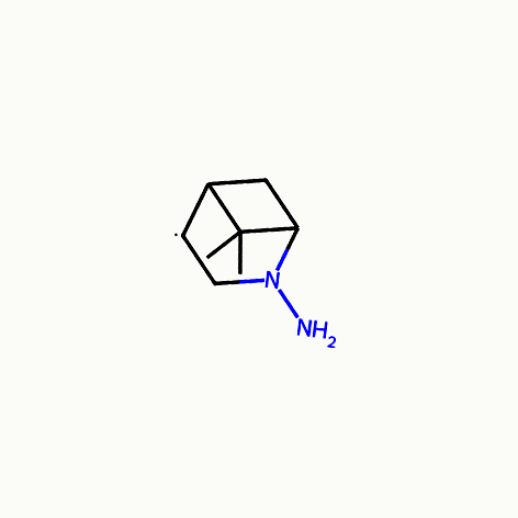 CC1(C)C2[CH]CN(N)C1C2